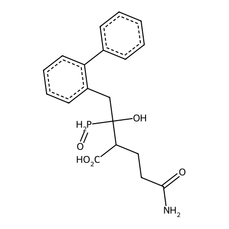 NC(=O)CCC(C(=O)O)C(O)(Cc1ccccc1-c1ccccc1)[PH2]=O